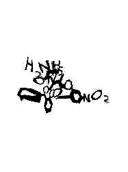 NC1C(=O)N2C(C(=O)OC(c3ccccc3)c3ccccc3)=C(C(=O)OCc3ccc([N+](=O)[O-])cc3)CS[C@H]12